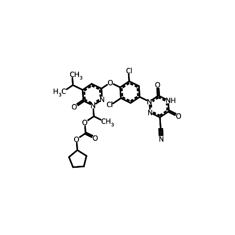 CC(C)c1cc(Oc2c(Cl)cc(-n3nc(C#N)c(=O)[nH]c3=O)cc2Cl)nn(C(C)OC(=O)OC2CCCC2)c1=O